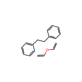 C=COC=C.c1ccc(CCc2ccccc2)cc1